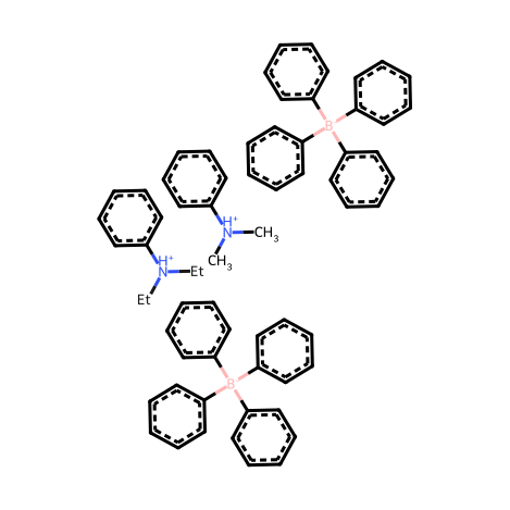 CC[NH+](CC)c1ccccc1.C[NH+](C)c1ccccc1.c1ccc([B-](c2ccccc2)(c2ccccc2)c2ccccc2)cc1.c1ccc([B-](c2ccccc2)(c2ccccc2)c2ccccc2)cc1